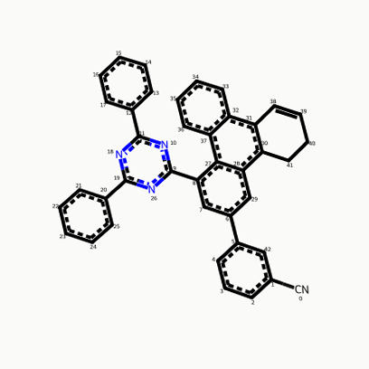 N#Cc1cccc(-c2cc(-c3nc(-c4ccccc4)nc(-c4ccccc4)n3)c3c(c2)c2c(c4ccccc43)C=CCC2)c1